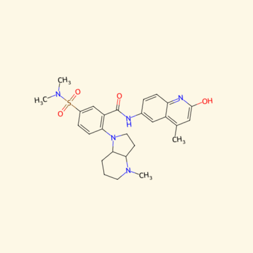 Cc1cc(O)nc2ccc(NC(=O)c3cc(S(=O)(=O)N(C)C)ccc3N3CCC4C3CCCN4C)cc12